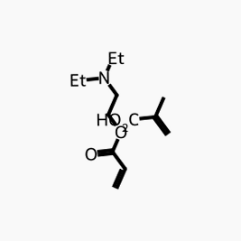 C=C(C)C(=O)O.C=CC(=O)OCCN(CC)CC